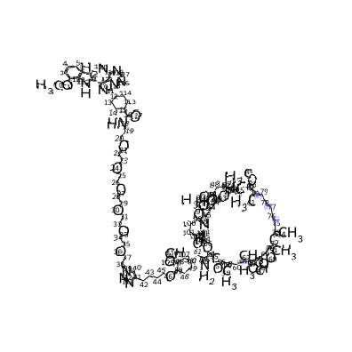 COc1cccc2cc(-c3nc([C@H]4CC[C@H](C(=O)NCCOCCOCCOCCOCCOCCOCCn5cc(CCCCO[C@@H]6CC[C@@H](C[C@@H](N)[C@@H]7CC(=O)[C@H](C)/C=C(\C)[C@@H](O)[C@@H](OC)C(=O)[C@H](C)C[C@H](C)/C=C/C=C/C=C(\C)[C@@H](OC)C[C@@H]8CC[C@@H](C)[C@@](O)(O8)C(=O)C(=O)N8CCCC[C@H]8C(=O)O7)C[C@H]6OC)nn5)CC4)n4ncnc(N)c34)[nH]c12